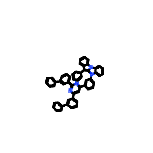 c1ccc(-c2cccc(-c3cc(-c4cccc(-n5c6ccccc6n6c7ccccc7c(-c7ccccc7)c56)c4)nc(-c4cccc(-c5ccccc5)c4)n3)c2)cc1